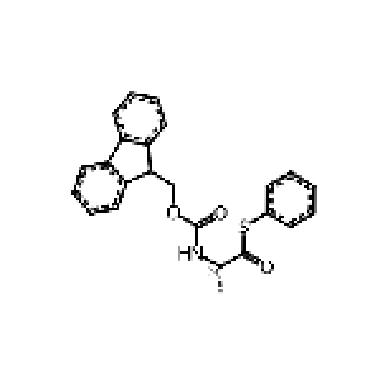 C[C@H](NC(=O)OCC1c2ccccc2-c2ccccc21)C(=O)Sc1ccccc1